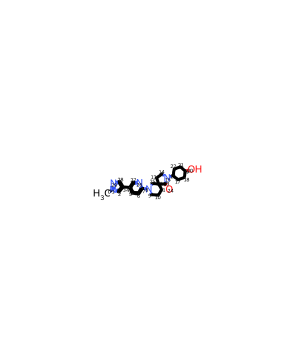 Cn1cc(-c2ccc(N3CCCC4(CCN(C5CCC(O)CC5)C4=O)C3)nc2)cn1